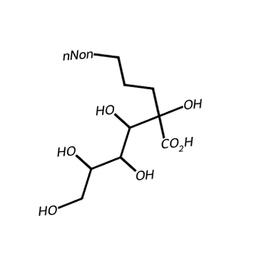 CCCCCCCCCCCCC(O)(C(=O)O)C(O)C(O)C(O)CO